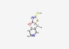 CSC1=NC(=O)C(C(C)c2ccc(C)nc2)S1